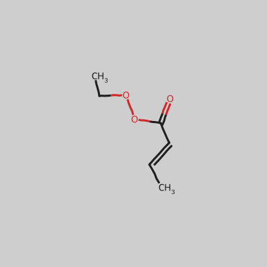 CC=CC(=O)OOCC